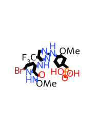 CONC(=O)c1nc(Br)ccc1Nc1nc(Nc2ccc(CP(=O)(O)O)cc2OC)ncc1C(F)(F)F